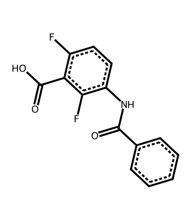 O=C(Nc1ccc(F)c(C(=O)O)c1F)c1ccccc1